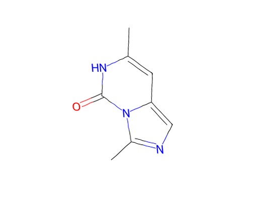 Cc1cc2cnc(C)n2c(=O)[nH]1